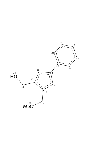 COCn1cc(-c2ccccc2)cc1CO